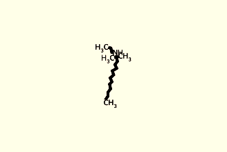 CCCCCCCCCCCCCC(C)(C)NCCC